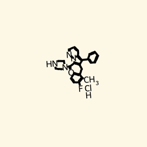 Cc1c(F)cccc1Cc1c(-c2ccccc2)c2cccnn2c1C(=O)N1CCNCC1.Cl